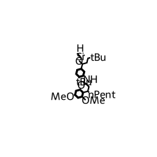 CCCCCC(CC(=O)Nc1cc(C(CCC(C)(C)C)O[SiH](C)C)ccc1C(C)(C)C)c1ccc(OC)cc1OC